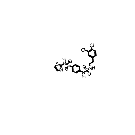 O=S(=O)(NCCc1ccc(Cl)c(Cl)c1)Nc1ccc(S(=O)(=O)Nc2nccs2)cc1